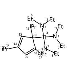 CC[N](CC)[Ti]([N](CC)CC)([N](CC)CC)[C]1(C(C)C)C=C(C(C)C)C=C1C(C)C